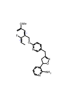 C=C(/C=C(COc1ccc(CC2=NOC(c3cccnc3N)C2)cn1)\C(F)=C/C)OC